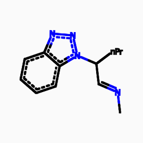 CCCC(C=NC)n1nnc2ccccc21